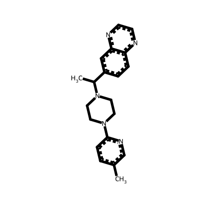 Cc1ccc(N2CCN(C(C)c3ccc4nccnc4c3)CC2)nc1